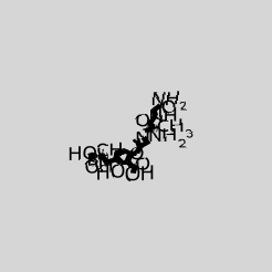 C[C@H](Cc1ccc(OC2CN(C[C@@](C)(N)C(=O)NCC(N)=O)C2)c(C(=O)O)c1O)B(O)O